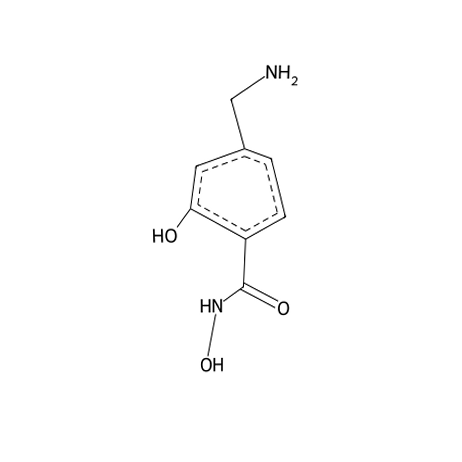 NCc1ccc(C(=O)NO)c(O)c1